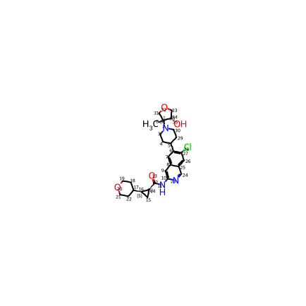 C[C@@]1(N2CCC(c3cc4cc(NC(=O)[C@H]5C[C@H]5C5CCOCC5)ncc4cc3Cl)CC2)COC[C@@H]1O